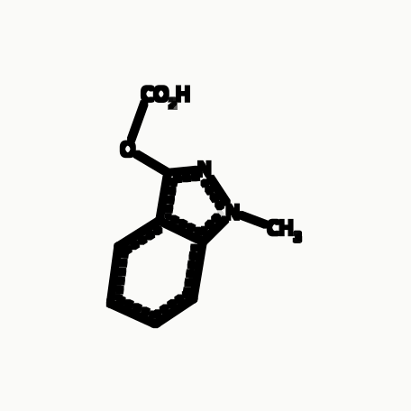 Cn1nc(OC(=O)O)c2ccccc21